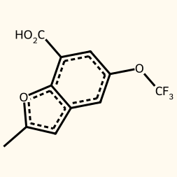 Cc1cc2cc(OC(F)(F)F)cc(C(=O)O)c2o1